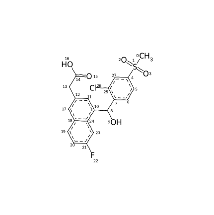 CS(=O)(=O)c1ccc(C(O)c2cc(CC(=O)O)cc3ccc(F)cc23)c(Cl)c1